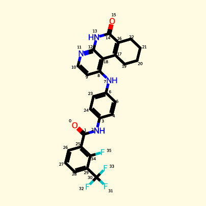 O=C(Nc1ccc(Nc2ccnc3[nH]c(=O)c4c(c23)CCCC4)cc1)c1cccc(C(F)(F)F)c1F